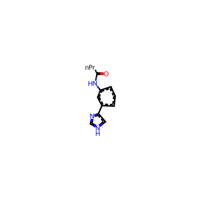 CCCC(=O)Nc1cccc(-c2c[nH]cn2)c1